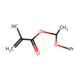 C=C(C#N)C(=O)OC(C)OC(C)C